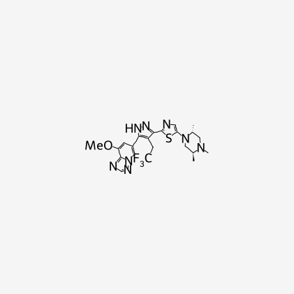 COc1cc(-c2[nH]nc(-c3ncc(N4C[C@H](C)N(C)C[C@H]4C)s3)c2CC(F)(F)F)cn2ncnc12